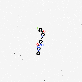 O=C(c1ccc(F)cc1F)C1CCN(CC[C@H]2CC[C@H](NC(=O)N3CCN(c4ccccc4)CC3)CC2)CC1